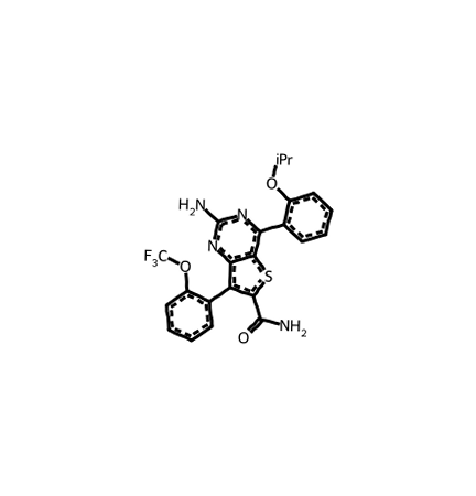 CC(C)Oc1ccccc1-c1nc(N)nc2c(-c3ccccc3OC(F)(F)F)c(C(N)=O)sc12